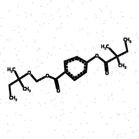 CCC(C)(C)OCOC(=O)c1ccc(OC(=O)C(C)(C)CC)cc1